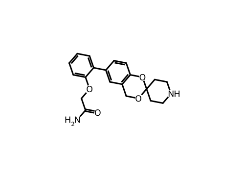 NC(=O)COc1ccccc1-c1ccc2c(c1)COC1(CCNCC1)O2